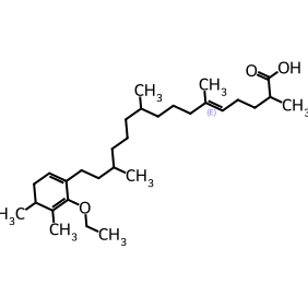 CCOC1=C(C)C(C)CC=C1CCC(C)CCCC(C)CCC/C(C)=C/CCC(C)C(=O)O